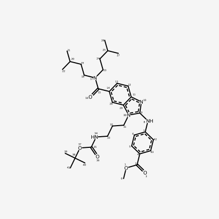 COC(=O)c1ccc(Nc2nc3ccc(C(=O)N(CCC(C)C)CCC(C)C)cc3n2CCCNC(=O)OC(C)(C)C)cc1